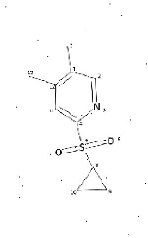 Cc1cnc(S(=O)(=O)C2CC2)cc1C